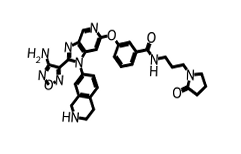 Nc1nonc1-c1nc2cnc(Oc3cccc(C(=O)NCCCN4CCCC4=O)c3)cc2n1-c1ccc2c(c1)CNCC2